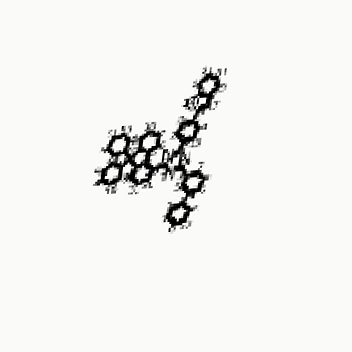 c1ccc(-c2cccc(-c3nc(-c4ccc(-c5cc6ccccc6o5)cc4)nc(-c4cccc5c4-c4ccccc4C5(c4ccccc4)c4ccccc4)n3)c2)cc1